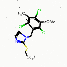 COc1c(Cl)c(Cn2ccnc2SCC(=O)O)c(Cl)c(C(F)(F)F)c1Cl